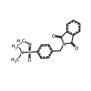 CN=S(=O)(c1ccc(CN2C(=O)c3ccccc3C2=O)cc1)N(C)C